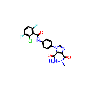 CNC(=O)c1ncn(-c2ccc(NC(=O)c3c(F)ccc(F)c3Cl)cc2)c1C(N)=O